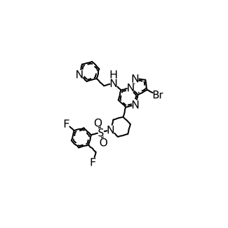 O=S(=O)(c1cc(F)ccc1CF)N1CCCC(c2cc(NCc3cccnc3)n3ncc(Br)c3n2)C1